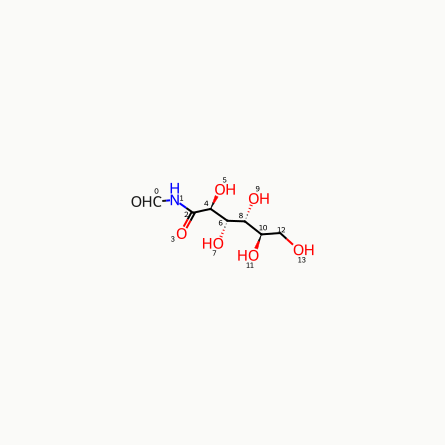 O=CNC(=O)[C@@H](O)[C@@H](O)[C@H](O)[C@H](O)CO